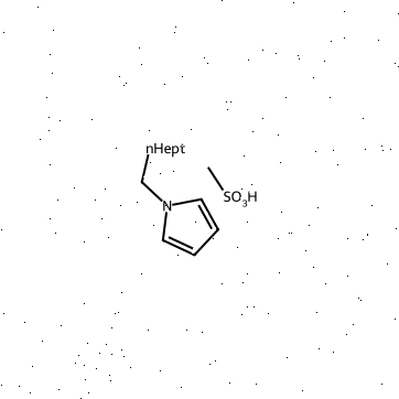 CCCCCCCCn1cccc1.CS(=O)(=O)O